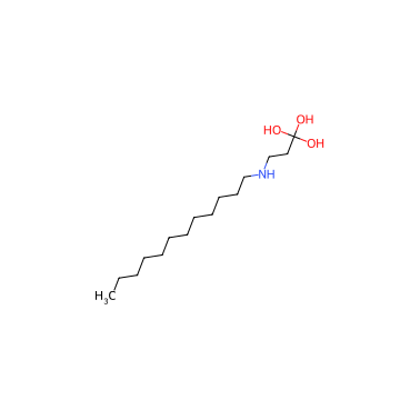 CCCCCCCCCCCCNCCC(O)(O)O